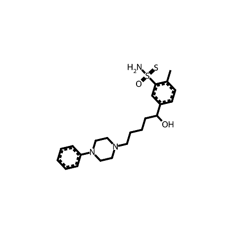 Cc1ccc(C(O)CCCCN2CCN(c3ccccc3)CC2)cc1S(N)(=O)=S